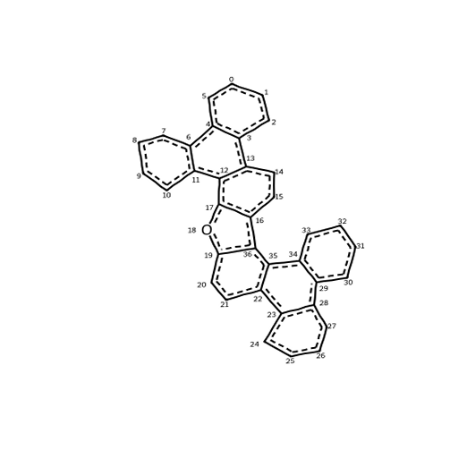 c1ccc2c(c1)c1ccccc1c1c2ccc2c1oc1ccc3c4ccccc4c4ccccc4c3c12